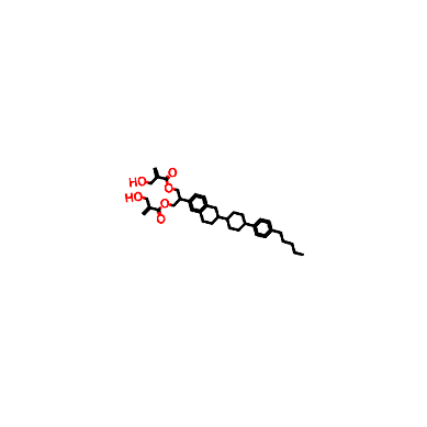 C=C(CO)C(=O)OCC(COC(=O)C(=C)CO)c1ccc2c(c1)CCC(C1CCC(c3ccc(CCCCC)cc3)CC1)C2